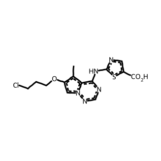 Cc1c(OCCCCl)cn2ncnc(Nc3ncc(C(=O)O)s3)c12